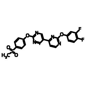 CS(=O)(=O)c1ccc(Oc2n[c]c(-c3ccnc(Oc4ccc(F)c(F)c4)n3)cn2)cc1